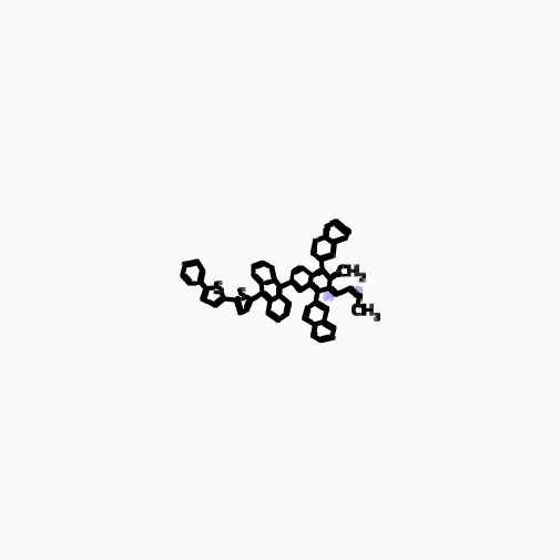 C=c1c(-c2ccc3ccccc3c2)c2ccc(-c3c4ccccc4c(-c4ccc(-c5ccc(-c6ccccc6)s5)s4)c4ccccc34)cc2c(-c2ccc3ccccc3c2)/c1=C/C=C\C